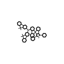 CC1(C)c2ccccc2-c2ccc(N(c3ccc4c(c3)C(C)(C)c3ccccc3-4)c3cccc4c3-c3ccccc3C43c4ccccc4-c4c(-c5ccccc5)sc(-c5ccccc5)c43)cc21